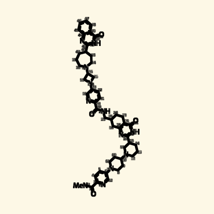 CNC(=O)c1ccc(N2CCC(N3CCCC(c4nc5c(c(=O)[nH]4)CCC(CNC(=O)c4ccc(N6CC(N7CCCC(c8nc9ccccc9c(=O)[nH]8)CC7)C6)cn4)C5)C3)CC2)cn1